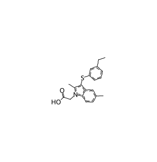 CCc1cccc(Sc2c(C)n(CC(=O)O)c3ccc(C)cc23)c1